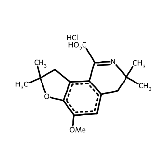 COc1cc2c(c3c1OC(C)(C)C3)C(C(=O)O)=NC(C)(C)C2.Cl